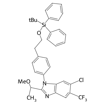 COC(C)c1nc2cc(C(F)(F)F)c(Cl)cc2n1-c1ccc(CCO[Si](c2ccccc2)(c2ccccc2)C(C)(C)C)cc1